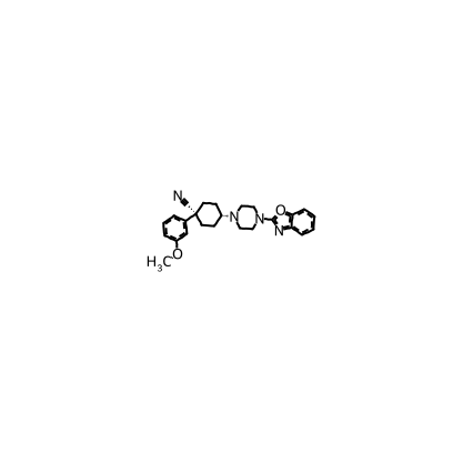 COc1cccc([C@]2(C#N)CC[C@@H](N3CCN(c4nc5ccccc5o4)CC3)CC2)c1